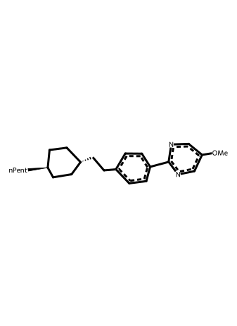 CCCCC[C@H]1CC[C@H](CCc2ccc(-c3ncc(OC)cn3)cc2)CC1